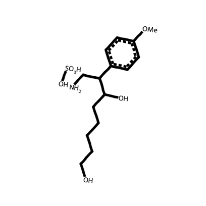 COc1ccc(C(CN)C(O)CCCCCO)cc1.O=S(=O)(O)O